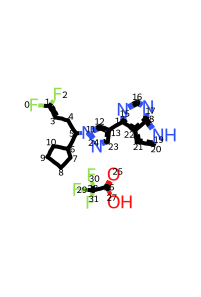 FC(F)=CCC(C1CCCC1)n1cc(-c2ncnc3[nH]ccc23)cn1.O=C(O)C(F)(F)F